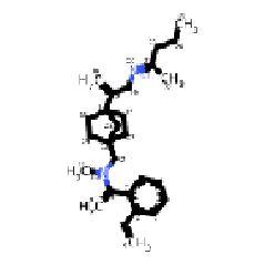 C=Cc1ccccc1C(=C)N(C)CC12CCC(C(=C)C/N=C(\C)CCC)(CC1)C2